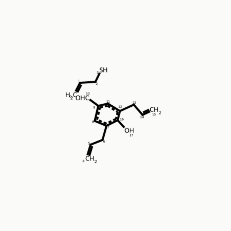 C=CCS.C=CCc1cc(C=O)cc(CC=C)c1O